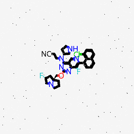 N#CCCN(c1nc(OC[C@@]23CCCN2C[C@H](F)C3)nc2c(F)c(-c3cccc4cccc(Cl)c34)ncc12)[C@@H]1CCNC1